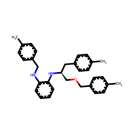 Cc1ccc(CNc2ccccc2N[C@H](COCc2ccc(C)cc2)Cc2ccc(C)cc2)cc1